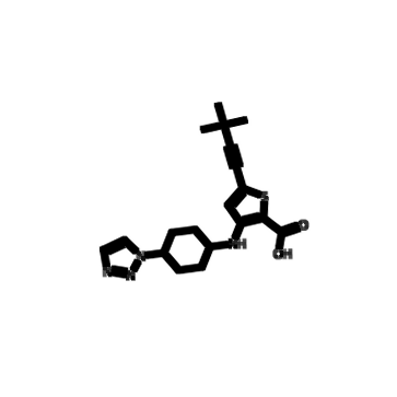 CC(C)(C)C#Cc1cc(NC2CCC(n3ccnn3)CC2)c(C(=O)O)s1